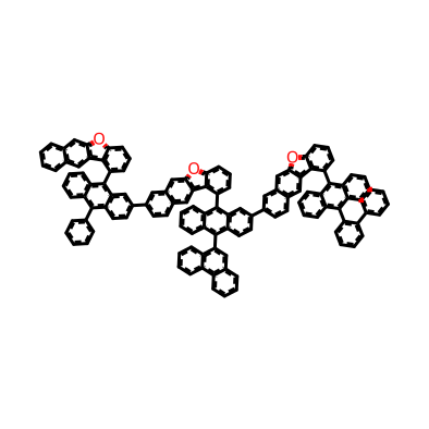 c1ccc(-c2ccccc2-c2c3ccccc3c(-c3cccc4oc5cc6cc(-c7ccc8c(-c9cc%10ccccc%10c%10ccccc9%10)c9ccccc9c(-c9cccc%10oc%11cc%12cc(-c%13ccc%14c(-c%15ccccc%15)c%15ccccc%15c(-c%15cccc%16oc%17cc%18ccccc%18cc%17c%15%16)c%14c%13)ccc%12cc%11c9%10)c8c7)ccc6cc5c34)c3ccccc23)cc1